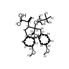 C=C(C(=O)O)C(Cc1ccc(OC)cc1)C(Cc1ccc(OC)cc1)(O[Si](C)(C)C(C)(C)C)C(=O)O